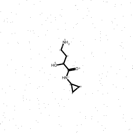 NCCC(O)C(=O)NC1CC1